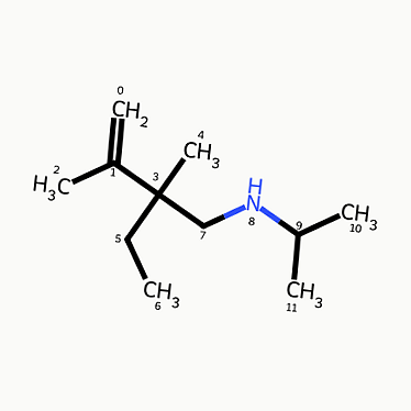 C=C(C)C(C)(CC)CNC(C)C